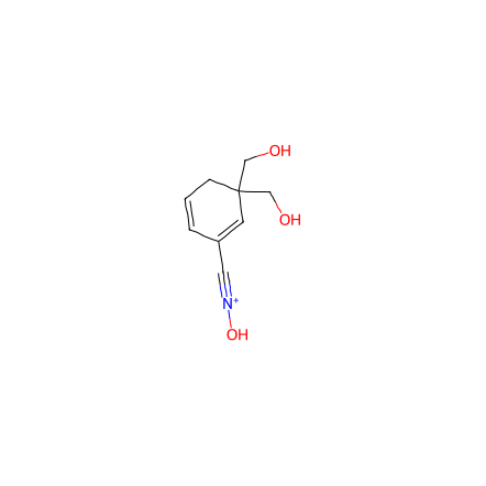 OCC1(CO)C=C(C#[N+]O)C=CC1